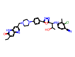 CCc1cc2ncc(CN3CCN(c4ccc(-c5nnc(C(Nc6ccc(C#N)c(Cl)c6C)C(C)O)o5)cc4)CC3)cc2[nH]c1=O